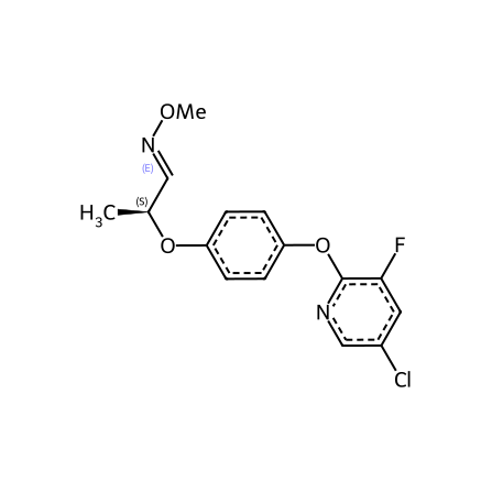 CO/N=C/[C@H](C)Oc1ccc(Oc2ncc(Cl)cc2F)cc1